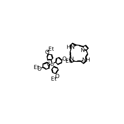 C1=Cc2cc3ccc(cc4nc(cc5ccc(cc1n2)[nH]5)C=C4)[nH]3.CCOc1cc[c]([Co]([c]2ccc(OCC)cc2)([c]2ccc(OCC)cc2)[c]2ccc(OCC)cc2)cc1